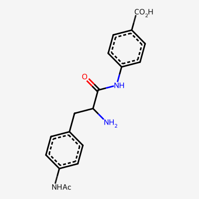 CC(=O)Nc1ccc(CC(N)C(=O)Nc2ccc(C(=O)O)cc2)cc1